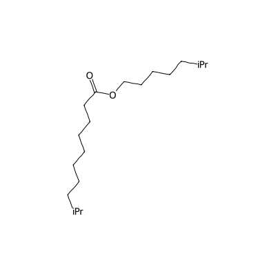 CC(C)CCCCCCCC(=O)OCCCCCC(C)C